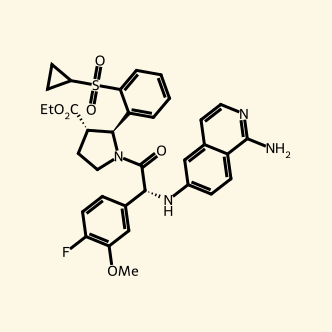 CCOC(=O)[C@H]1CCN(C(=O)[C@H](Nc2ccc3c(N)nccc3c2)c2ccc(F)c(OC)c2)[C@@H]1c1ccccc1S(=O)(=O)C1CC1